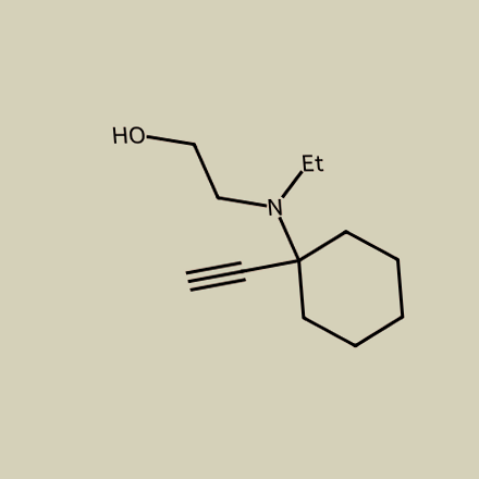 C#CC1(N(CC)CCO)CCCCC1